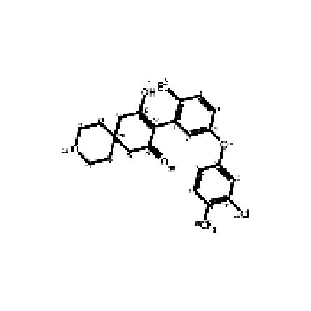 CCc1ccc(Oc2ccc(C(F)(F)F)c(Cl)c2)cc1C1=C(O)CC2(CCOCC2)CC1=O